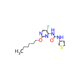 CCCCCCOc1ncc(F)c(NC(=O)Nc2ccsc2)n1